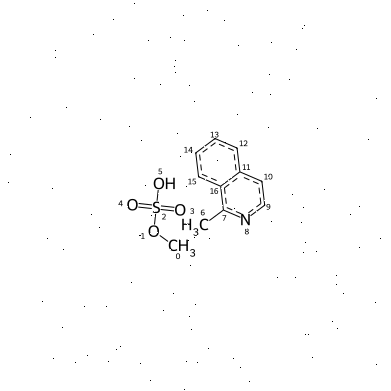 COS(=O)(=O)O.Cc1nccc2ccccc12